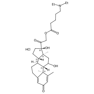 CCN(CC)CCCCC(=O)OCC(=O)[C@@]1(O)CC[C@H]2[C@@H]3CCC4=CC(=O)C=C(C)[C@]4(C)[C@H]3C(O)C[C@@]21C.Cl